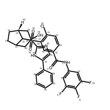 O=C(Nc1cc(F)c(F)c(F)c1)c1ccc(Cl)c(S(=O)(=O)C2C3CC[C@@H]2CC(O)(c2ncc(-c4ccccc4)[nH]2)C3)c1